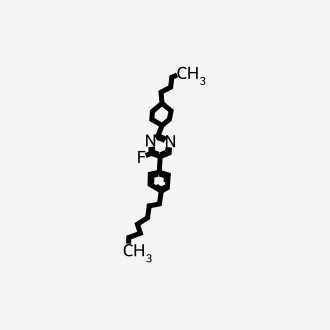 CCCCCCCc1ccc(-c2cnc(C3CCC(CCCC)CC3)nc2F)cc1